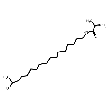 C=C(C)C(=O)NCCCCCCCCCCCCCCCC(C)C